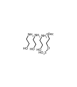 CCCCCCCCCCCCOS(=O)(=O)O.NCCO.NCCO.NCCO